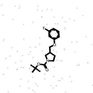 CC(C)(C)OC(=O)N1CCC(COc2cccc(F)c2)C1